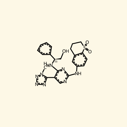 Cn1nnnc1-c1cnc(Nc2ccc3c(c2)CCCS3(=O)=O)nc1N[C@H](CO)c1ccccc1